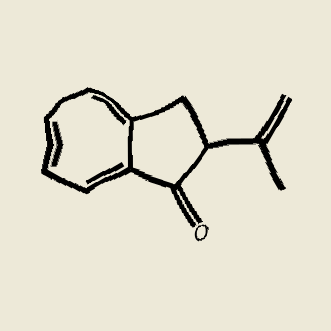 C=C(C)C1Cc2ccccc2C1=O